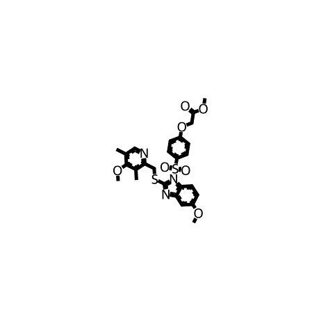 COC(=O)COc1ccc(S(=O)(=O)n2c(SCc3ncc(C)c(OC)c3C)nc3cc(OC)ccc32)cc1